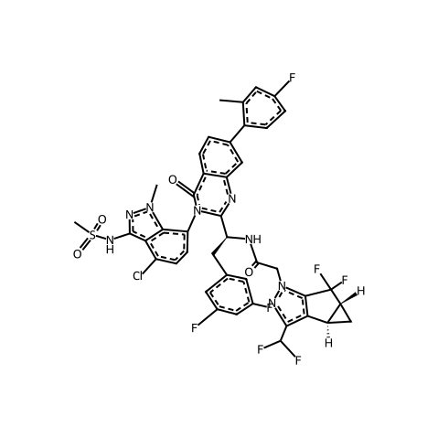 Cc1cc(F)ccc1-c1ccc2c(=O)n(-c3ccc(Cl)c4c(NS(C)(=O)=O)nn(C)c34)c([C@H](Cc3cc(F)cc(F)c3)NC(=O)Cn3nc(C(F)F)c4c3C(F)(F)[C@@H]3C[C@@H]43)nc2c1